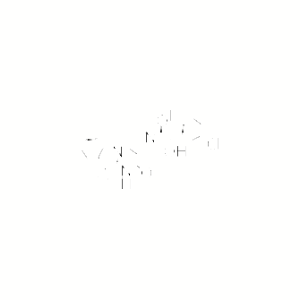 O=C(C(O)c1cc(Cl)ccc1F)N1CCc2nc(C3(c4ccccc4)CC3)[nH]c(=O)c2C1